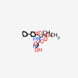 CCOC(=O)C(C)(O)CC(Cc1ccc(-c2ccccc2)cc1)NC(=O)c1cc(O)no1